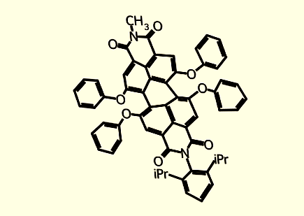 CC(C)c1cccc(C(C)C)c1N1C(=O)c2cc(Oc3ccccc3)c3c4c(Oc5ccccc5)cc5c6c(cc(Oc7ccccc7)c(c7c(Oc8ccccc8)cc(c2c37)C1=O)c64)C(=O)N(C)C5=O